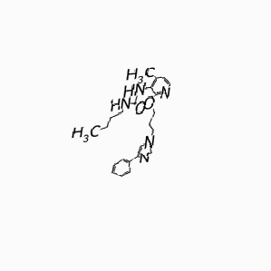 CCCCNC(=O)Nc1c(C)ccnc1OCCCn1cnc(-c2ccccc2)c1